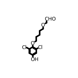 O=CCOCCCCCOc1c(Cl)cc(O)cc1Cl